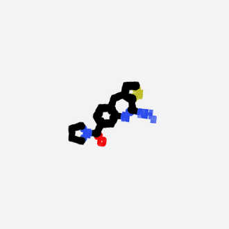 NC1=Nc2cc(C(=O)N3CCCC3)ccc2Cc2ccsc21